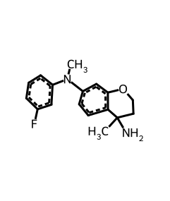 CN(c1cccc(F)c1)c1ccc2c(c1)OCCC2(C)N